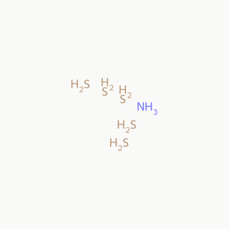 N.S.S.S.S.S